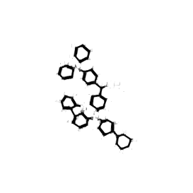 CC(c1ccc(N(c2ccccc2)c2ccccc2)cc1)c1ccc(N(c2ccc(C3CCCCC3)cc2)c2cccc3c2sc2ccccc23)cc1